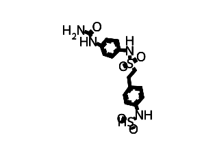 NC(=O)Nc1ccc(NS(=O)(=O)CCc2ccc(N[SH](=O)=O)cc2)cc1